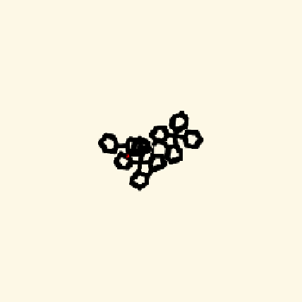 c1ccc(-c2ccc(N(c3cccc4c3-c3ccccc3C4(c3ccccc3)c3ccccc3)c3cccc4c3C(c3ccccc3)(c3ccccc3)c3ccccc3-4)cc2)cc1